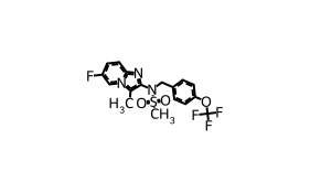 Cc1c(N(Cc2ccc(OC(F)(F)F)cc2)S(C)(=O)=O)nc2ccc(F)cn12